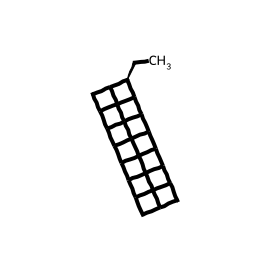 CC[C@@H]1C2CC3C4C5C6C7C8CC9CC%10C%11C%12C%13C%14C1C32C4%14C5%13C6%12C7%11C98%10